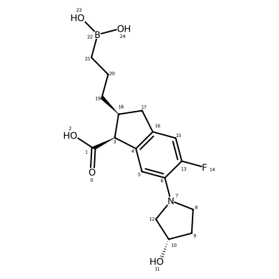 O=C(O)[C@@H]1c2cc(N3CC[C@H](O)C3)c(F)cc2C[C@@H]1CCCB(O)O